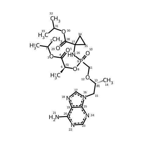 CC(C)OC(=O)[C@H](C)OP(=O)(CO[C@H](C)Cn1cnc2c(N)ncnc21)NC1(C(=O)OC(C)C)CC1